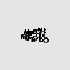 COc1cnc(C(F)F)cc1-c1cc(N2CCn3nccc3C2=O)ncc1C(=O)OCc1ccccc1